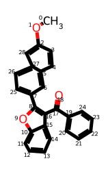 COc1ccc2cc(-c3oc4ccccc4c3C(=O)c3ccccc3)ccc2c1